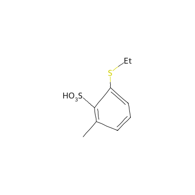 CCSc1cccc(C)c1S(=O)(=O)O